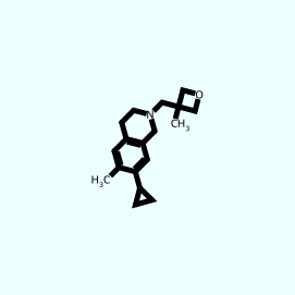 Cc1cc2c(cc1C1CC1)CN(CC1(C)COC1)CC2